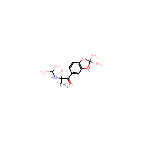 BC(B)NC(B)(C)C(=O)c1ccc2c(c1)OC(B)(B)O2